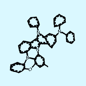 Cc1cc2c3c(c1)-n1c4c(cccc4c4c1c1ccc(N(c5ccccc5)c5ccccc5)cc1n4-c1ccccc1)B3c1ccccc1O2